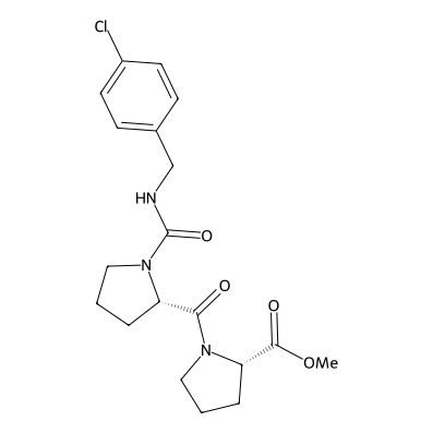 COC(=O)[C@@H]1CCCN1C(=O)[C@@H]1CCCN1C(=O)NCc1ccc(Cl)cc1